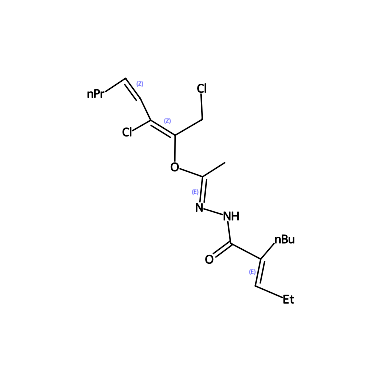 CC/C=C(\CCCC)C(=O)N/N=C(\C)O/C(CCl)=C(Cl)/C=C\CCC